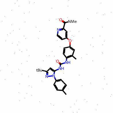 CNC(=O)c1cc(Oc2ccc(NC(=O)Nc3cc(C(C)(C)C)nn3-c3ccc(C)cc3)c(C)c2)ccn1